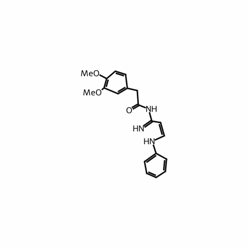 COc1ccc(CC(=O)NC(=N)/C=C\Nc2ccccc2)cc1OC